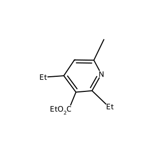 CCOC(=O)c1c(CC)cc(C)nc1CC